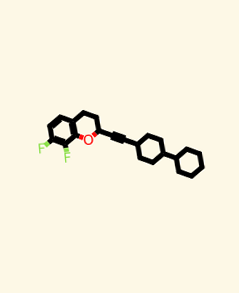 Fc1ccc2c(c1F)OC(C#CC1CCC(C3CCCCC3)CC1)CC2